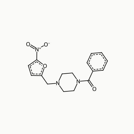 O=C(c1ccccc1)N1CCN(Cc2ccc([N+](=O)[O-])o2)CC1